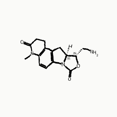 CN1C(=O)CCc2c1ccc1c2C[C@H]2[C@H](CN)OC(=O)N12